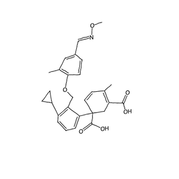 CON=Cc1ccc(OCc2c(C3CC3)cccc2C2(C(=O)O)C=CC(C)=C(C(=O)O)C2)c(C)c1